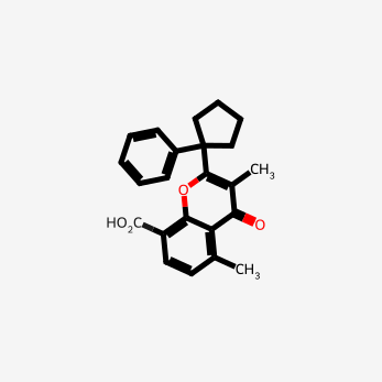 Cc1c(C2(c3ccccc3)CCCC2)oc2c(C(=O)O)ccc(C)c2c1=O